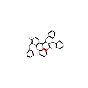 Nc1ccc(-c2ccc(N)c(Cc3ccccc3)c2Cc2ccccc2)c(Cc2ccccc2)c1Cc1ccccc1